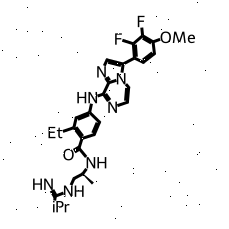 CCc1cc(Nc2nccn3c(-c4ccc(OC)c(F)c4F)cnc23)ccc1C(=O)N[C@@H](C)CNC(=N)C(C)C